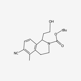 Cc1c(C#N)ccc2c1CCN(C(=O)OC(C)(C)C)C2CCO